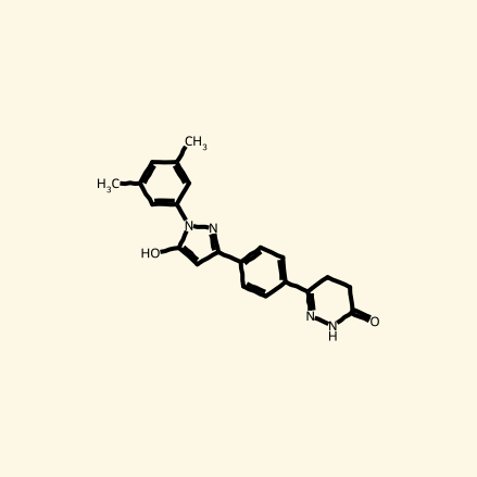 Cc1cc(C)cc(-n2nc(-c3ccc(C4=NNC(=O)CC4)cc3)cc2O)c1